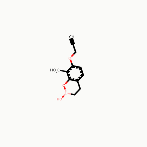 C#CCOc1ccc2c(c1C(=O)O)OB(O)CC2